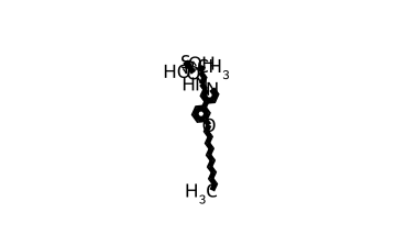 CCCCCCCCCCCOc1cccc(-c2ccnc(NCC(C)OP(O)(O)=S)c2)c1